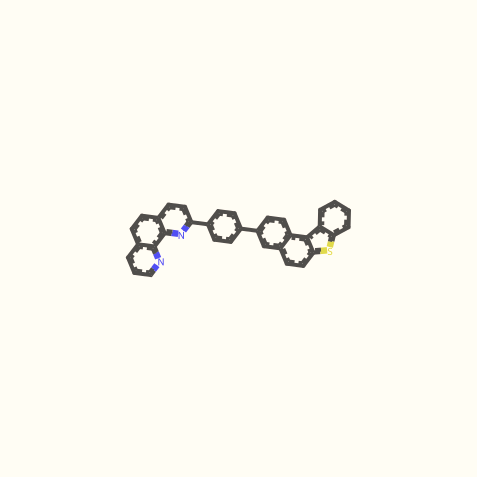 c1cnc2c(c1)ccc1ccc(-c3ccc(-c4ccc5c(ccc6sc7ccccc7c65)c4)cc3)nc12